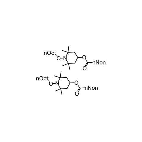 CCCCCCCCCC(=O)OC1CC(C)(C)N(OCCCCCCCC)C(C)(C)C1.CCCCCCCCCC(=O)OC1CC(C)(C)N(OCCCCCCCC)C(C)(C)C1